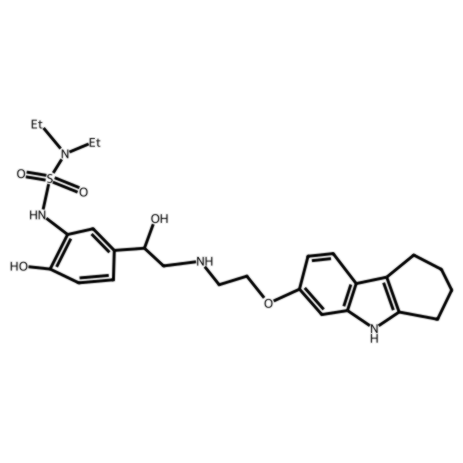 CCN(CC)S(=O)(=O)Nc1cc(C(O)CNCCOc2ccc3c4c([nH]c3c2)CCCC4)ccc1O